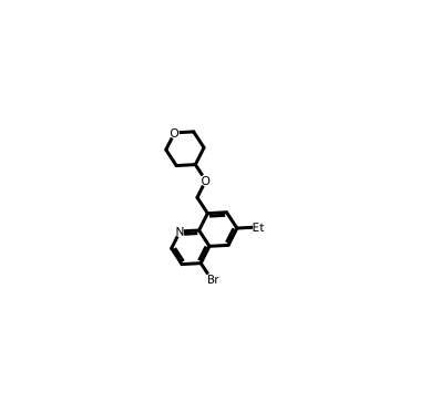 CCc1cc(COC2CCOCC2)c2nccc(Br)c2c1